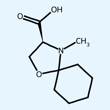 CN1[C@H](C(=O)O)COC12CCCCC2